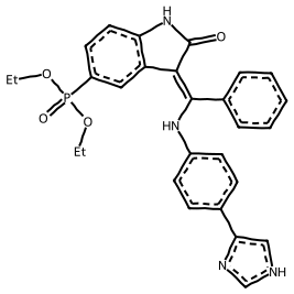 CCOP(=O)(OCC)c1ccc2c(c1)C(=C(Nc1ccc(-c3c[nH]cn3)cc1)c1ccccc1)C(=O)N2